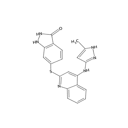 Cc1cc(Nc2cc(Sc3ccc4c(=O)[nH][nH]c4c3)nc3ccccc23)n[nH]1